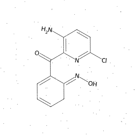 Nc1ccc(Cl)nc1C(=O)C1=CC=CCC1=NO